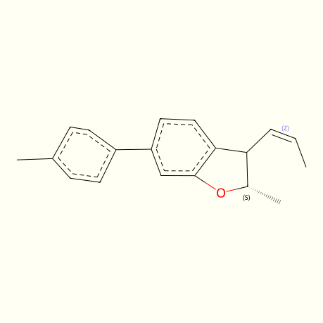 C/C=C\C1c2ccc(-c3ccc(C)cc3)cc2O[C@H]1C